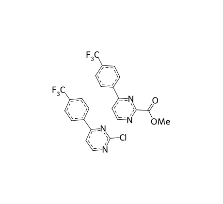 COC(=O)c1nccc(-c2ccc(C(F)(F)F)cc2)n1.FC(F)(F)c1ccc(-c2ccnc(Cl)n2)cc1